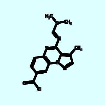 Cc1cnn2c1c(/N=C/N(C)C)nc1ccc(C(=O)Cl)cc12